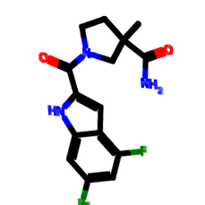 CC1(C(N)=O)CCN(C(=O)c2cc3c(F)cc(Br)cc3[nH]2)C1